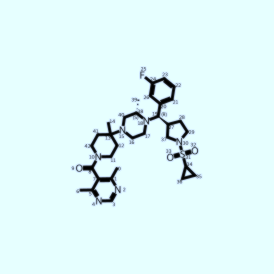 Cc1ncnc(C)c1C(=O)N1CCC(C)(N2CCN([C@@H](c3cccc(F)c3)C3CCN(S(=O)(=O)C4CC4)C3)[C@@H](C)C2)CC1